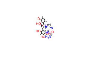 COc1c(C)cc2c(c1O)[C@@H]1[C@@H]3Cc4c(O)c(C)c(O)c(O)c4[C@H](CNC(=O)[C@H](C)N)N3[C@@H](C#N)[C@@H](C2)N1C